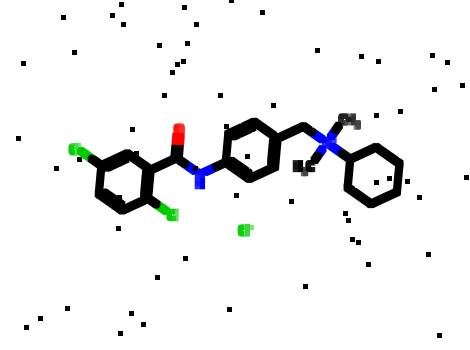 C[N+](C)(Cc1ccc(NC(=O)c2cc(Cl)ccc2Cl)cc1)C1CCCCC1.[Cl-]